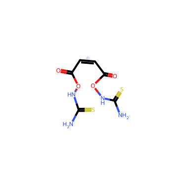 NC(=S)NOC(=O)/C=C\C(=O)ONC(N)=S